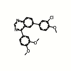 COc1ccc(-c2ccc3ncnc(-c4ccc(OC)c(OC)c4)c3c2)cc1Cl